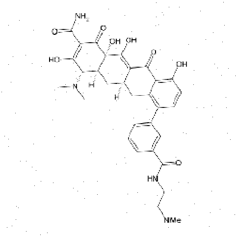 CNCCNC(=O)c1cccc(-c2ccc(O)c3c2C[C@H]2C[C@H]4[C@H](N(C)C)C(O)=C(C(N)=O)C(=O)[C@@]4(O)C(O)=C2C3=O)c1